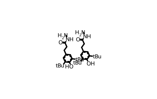 CC(C)(C)c1cc(CCC(=O)NN)cc(C(C)(C)C)c1O.CC(C)(C)c1cc(CCC(=O)NN)cc(C(C)(C)C)c1O